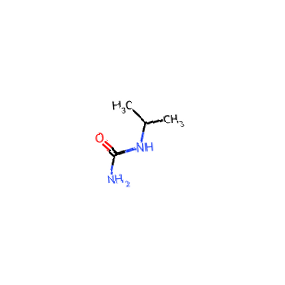 C[C](C)NC(N)=O